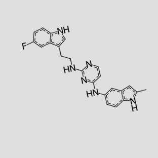 Cc1cc2cc(Nc3ccnc(NCCc4c[nH]c5ccc(F)cc45)n3)ccc2[nH]1